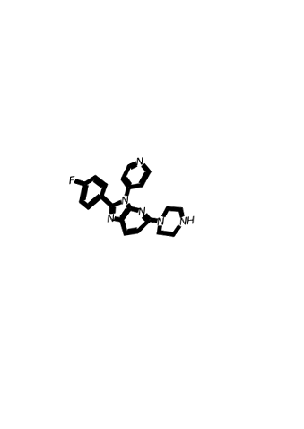 Fc1ccc(-c2nc3ccc(N4CCNCC4)nc3n2-c2c[c]ncc2)cc1